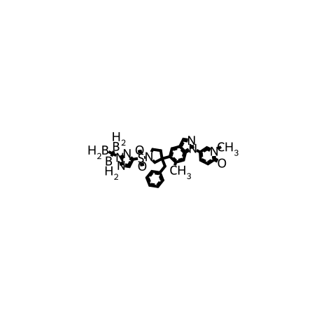 BC(B)(B)n1ncc(S(=O)(=O)N2CCC(Cc3ccccc3)(c3cc4cnn(-c5ccc(=O)n(C)c5)c4cc3C)C2)n1